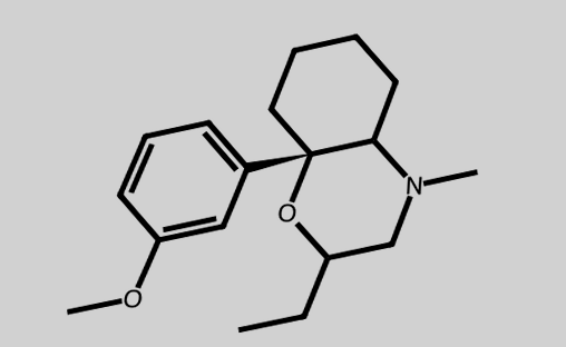 CCC1CN(C)C2CCCC[C@@]2(c2cccc(OC)c2)O1